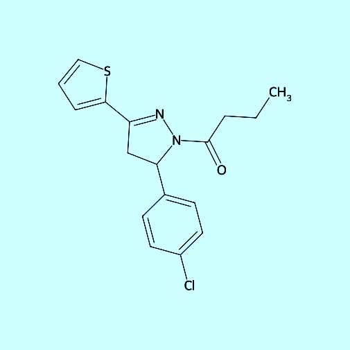 CCCC(=O)N1N=C(c2cccs2)CC1c1ccc(Cl)cc1